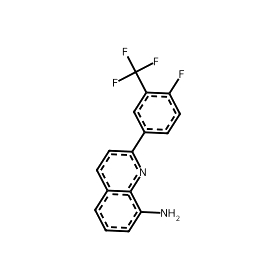 Nc1cccc2ccc(-c3ccc(F)c(C(F)(F)F)c3)nc12